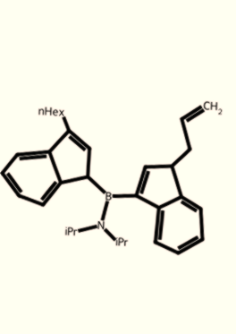 C=CCC1C=C(B(C2C=C(CCCCCC)c3ccccc32)N(C(C)C)C(C)C)c2ccccc21